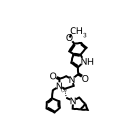 COc1ccc2[nH]c(C(=O)N3CC(=O)N(Cc4ccccc4)[C@@H](CN4CC5CC5C4)C3)cc2c1